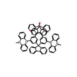 CN1c2ccccc2N(c2cc(N3c4ccccc4N(C)c4ccccc43)cc(C3(c4cc(N5c6ccccc6N(C)c6ccccc65)cc(N5c6ccccc6N(C)c6ccccc65)c4)c4ccccc4-c4ccccc43)c2)c2ccccc21